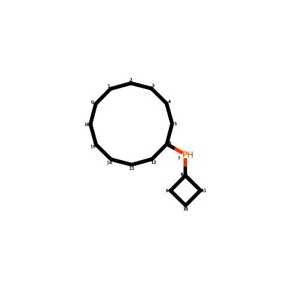 C1CCCCCC(PC2CCC2)CCCCC1